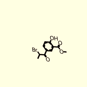 COC(=O)c1cc(C(=O)C(C)Br)ccc1O